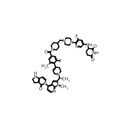 Cc1cc(C(=O)N2CCC(CN3CCN(c4ncc(NC5CCC(=O)NC5=O)cc4F)CC3)CC2)cc(F)c1C1=CCN([C@@H](C)c2cc3c(-n4ccc5c(c4=O)CCN5)ccnc3n2C)CC1